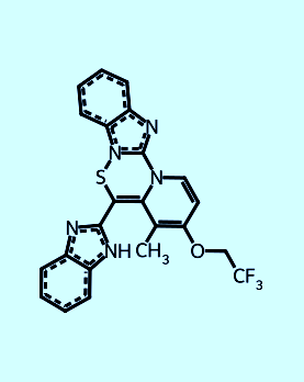 CC1=C(OCC(F)(F)F)C=CN2C1=C(c1nc3ccccc3[nH]1)Sn1c2nc2ccccc21